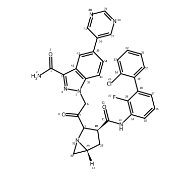 NC(=O)c1nn(CC(=O)C2[C@@H](C(=O)Nc3cccc(-c4ccccc4Cl)c3F)C[C@@H]3CN23)c2ccc(-c3cncnc3)cc12